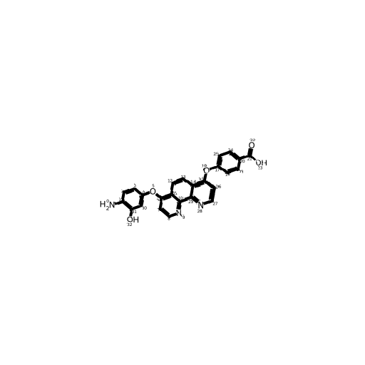 Nc1ccc(Oc2ccnc3c2ccc2c(Oc4ccc(C(=O)O)cc4)ccnc23)cc1O